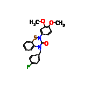 COc1ccc(N2Sc3ccccc3N(Cc3ccc(F)cc3)C2=O)cc1OC